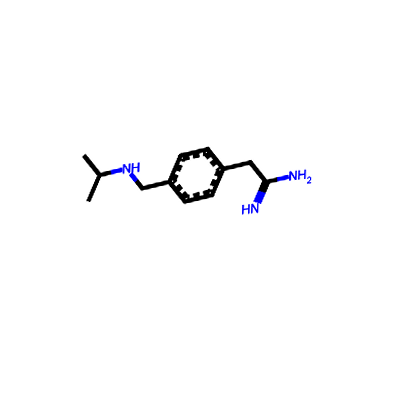 CC(C)NCc1ccc(CC(=N)N)cc1